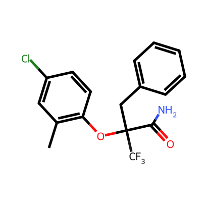 Cc1cc(Cl)ccc1OC(Cc1ccccc1)(C(N)=O)C(F)(F)F